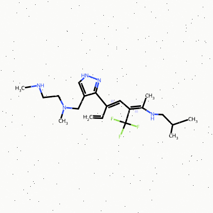 C=C/C(=C\C(=C(/C)NCC(C)C)C(F)(F)F)c1n[nH]cc1CN(C)CCNC